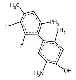 Cc1cc(P)c(-c2cc(N)c(O)cc2P)c(F)c1F